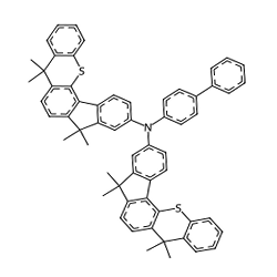 CC1(C)c2ccccc2Sc2c1ccc1c2-c2ccc(N(c3ccc(-c4ccccc4)cc3)c3ccc4c(c3)C(C)(C)c3ccc5c(c3-4)Sc3ccccc3C5(C)C)cc2C1(C)C